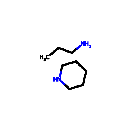 C1CCNCC1.CCCN